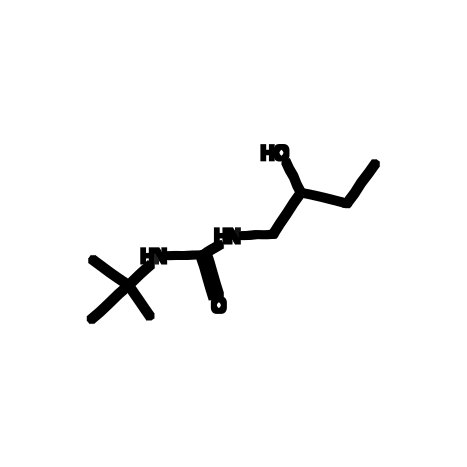 CCC(O)CNC(=O)NC(C)(C)C